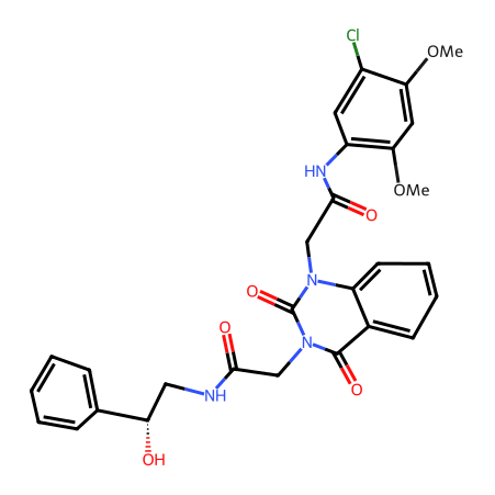 COc1cc(OC)c(NC(=O)Cn2c(=O)n(CC(=O)NC[C@H](O)c3ccccc3)c(=O)c3ccccc32)cc1Cl